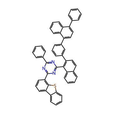 c1ccc(-c2nc(-c3c(-c4cccc(-c5ccc(-c6ccccc6)c6ccccc56)c4)ccc4ccccc34)nc(-c3cccc4c3sc3ccccc34)n2)cc1